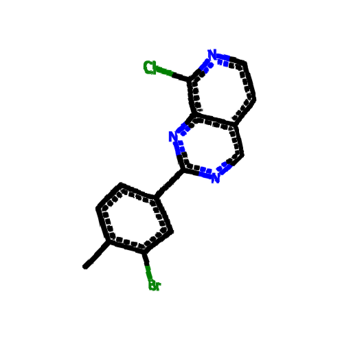 Cc1ccc(-c2ncc3ccnc(Cl)c3n2)cc1Br